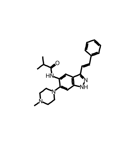 CC(C)C(=O)Nc1cc2c(/C=C/c3ccccc3)n[nH]c2cc1N1CCN(C)CC1